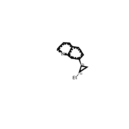 CC[C@H]1C[C@@H]1c1ccc2cccnc2c1